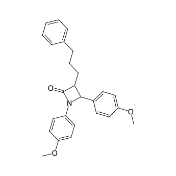 COc1ccc(C2C(CCCc3ccccc3)C(=O)N2c2ccc(OC)cc2)cc1